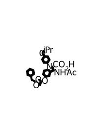 CC(=O)Nc1c(C(=O)O)n(-c2ccc(OC(C)C)cc2)c2ccc(OC3=COC(Cc4ccccc4)O3)cc12